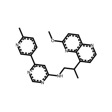 COc1ccc2nccc(C(C)CNc3cc(-c4ccc(C)nc4)ncn3)c2n1